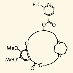 COc1cc2cc(c1OC)OCCCC(OC(=O)c1ccnc(C(F)(F)F)c1)CCN1CCCN(CCCOC2=O)CC1